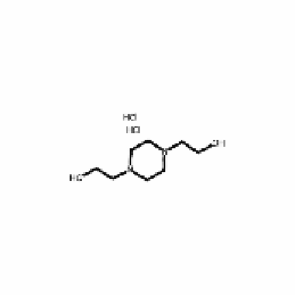 Cl.Cl.OCCN1CCN(CCO)CC1